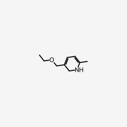 CCOCC1=CC=C(C)NC1